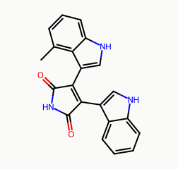 Cc1cccc2[nH]cc(C3=C(c4c[nH]c5ccccc45)C(=O)NC3=O)c12